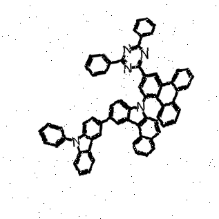 c1ccc(-c2nc(-c3ccccc3)nc(-c3cc(-n4c5ccc(-c6ccc7c(c6)c6ccccc6n7-c6ccccc6)cc5c5c6ccccc6ccc54)c4c5ccccc5c5ccccc5c4c3)n2)cc1